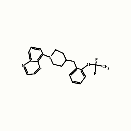 FC(F)(F)C(F)(F)Oc1ccccc1CC1CCN(c2cccc3ncc[c]c23)CC1